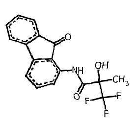 CC(O)(C(=O)Nc1cccc2c1C(=O)c1ccccc1-2)C(F)(F)F